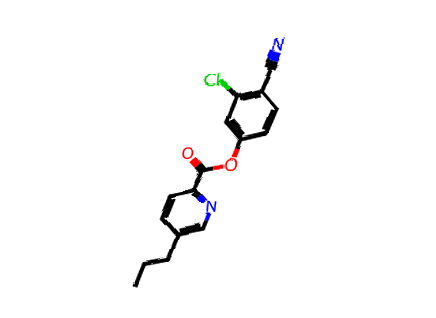 CCCc1ccc(C(=O)Oc2ccc(C#N)c(Cl)c2)nc1